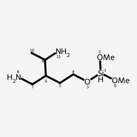 CO[SiH](OC)OCCC(CN)C(C)N